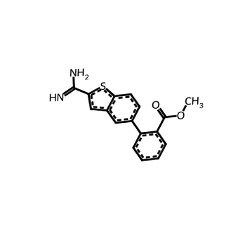 COC(=O)c1ccccc1-c1ccc2sc(C(=N)N)cc2c1